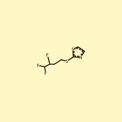 FC(F)C(F)CCSc1nccs1